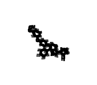 COc1cccc(Oc2ccc(-c3cnc4c(-c5nnn[nH]5)cnn4c3C3CCCCC3)cc2)c1